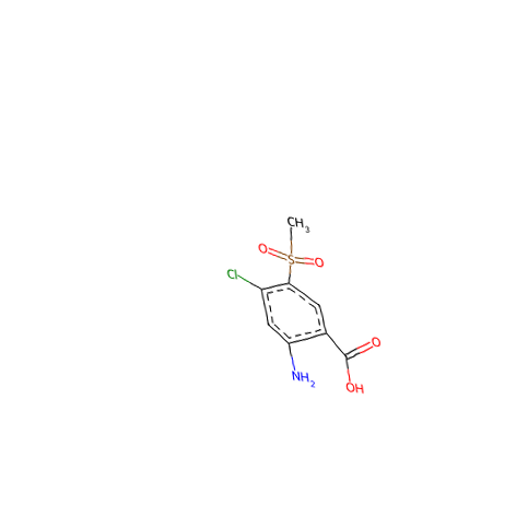 CS(=O)(=O)c1cc(C(=O)O)c(N)cc1Cl